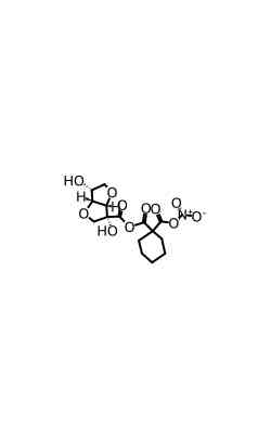 O=C(OC(=O)[C@@]1(O)CO[C@@H]2[C@H](O)CO[C@@H]21)C1(C(=O)O[N+](=O)[O-])CCCCC1